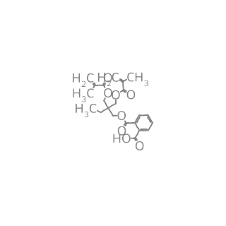 C=C(C)C(=O)OCC(CC)(COC(=O)C(=C)C)COC(=O)c1ccccc1C(=O)O